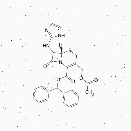 CC(=O)OCC1=C(C(=O)OC(c2ccccc2)c2ccccc2)N2C(=O)C(Nc3ncc[nH]3)[C@@H]2SC1